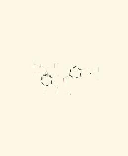 CCCCCCC(OC(CCCCCC)c1cc2c(cc1C)OC(Cl)(Cl)O2)c1cc2c(cc1C)OC(Cl)(Cl)O2